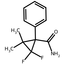 CC1(C)C(F)(F)C1(C(N)=O)c1ccccc1